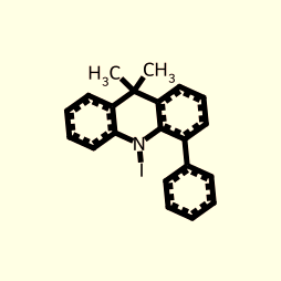 CC1(C)c2ccccc2N(I)c2c(-c3ccccc3)cccc21